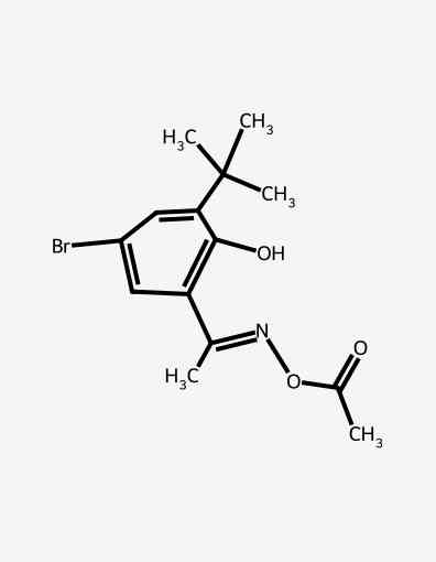 CC(=O)ON=C(C)c1cc(Br)cc(C(C)(C)C)c1O